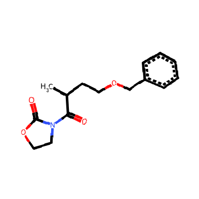 CC(CCOCc1ccccc1)C(=O)N1CCOC1=O